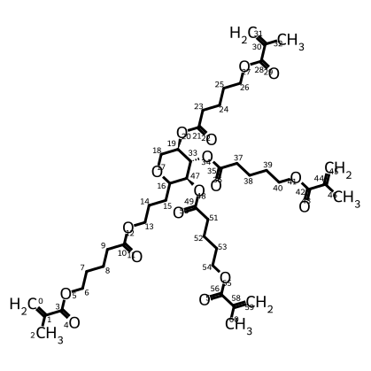 C=C(C)C(=O)OCCCCC(=O)OCCCC1OC[C@@H](OC(=O)CCCCOC(=O)C(=C)C)[C@H](OC(=O)CCCCOC(=O)C(=C)C)[C@H]1OC(=O)CCCCOC(=O)C(=C)C